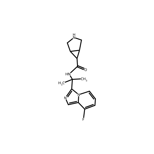 CC(C)(NC(=O)C1C2CNCC21)c1ncc2c(F)cccn12